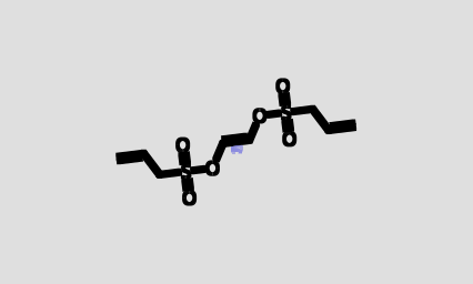 C=CCS(=O)(=O)O/C=C/OS(=O)(=O)CC=C